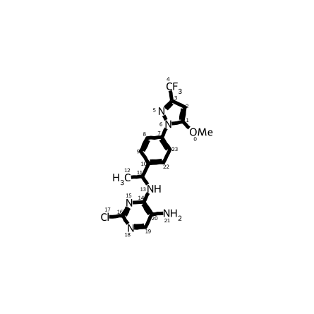 COc1cc(C(F)(F)F)nn1-c1ccc(C(C)Nc2nc(Cl)ncc2N)cc1